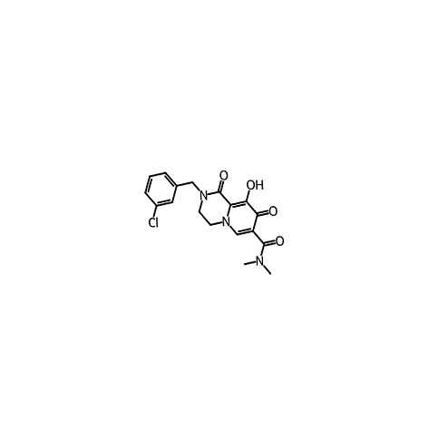 CN(C)C(=O)c1cn2c(c(O)c1=O)C(=O)N(Cc1cccc(Cl)c1)CC2